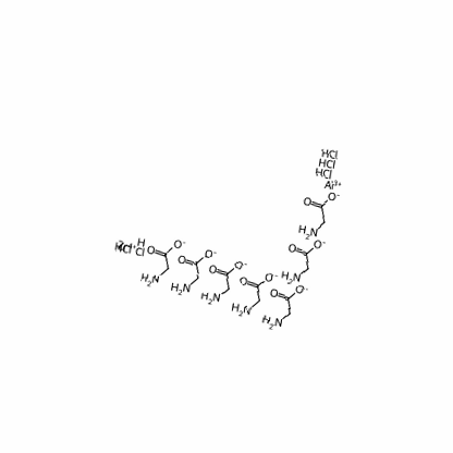 Cl.Cl.Cl.Cl.Cl.NCC(=O)[O-].NCC(=O)[O-].NCC(=O)[O-].NCC(=O)[O-].NCC(=O)[O-].NCC(=O)[O-].NCC(=O)[O-].[Al+3].[Zr+4]